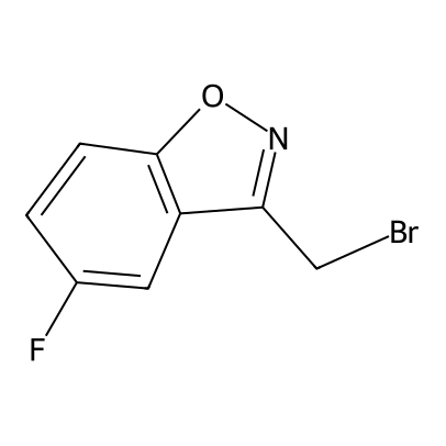 Fc1ccc2onc(CBr)c2c1